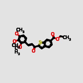 CCOC(=O)c1ccc2cc(C(=O)/C=C/c3ccc(OC)c(OC)c3OC)sc2c1